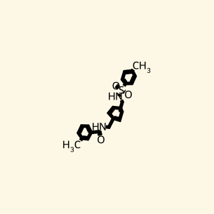 Cc1ccc(S(=O)(=O)NCc2ccc(CNC(=O)c3cccc(C)c3)cc2)cc1